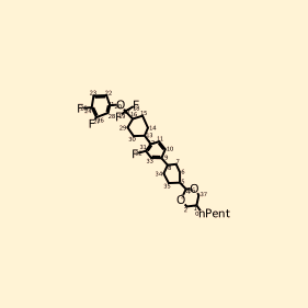 CCCCCC1COC(C2CCC(c3ccc(C4CCC(C(F)(F)Oc5ccc(F)c(F)c5)CC4)c(F)c3)CC2)OC1